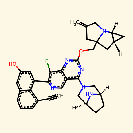 C#Cc1cccc2cc(O)cc(-c3ncc4c(N5C[C@H]6CC[C@@H](C5)N6)nc(OCC56CC(=C)CN5[C@@H]5C[C@@H]5C6)nc4c3F)c12